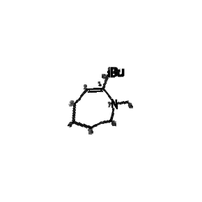 CCC(C)C1=CCCCCN1C